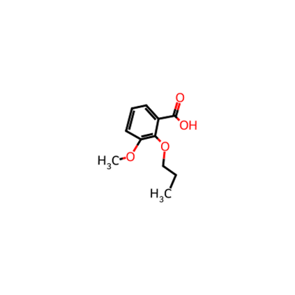 CCCOc1c(OC)cccc1C(=O)O